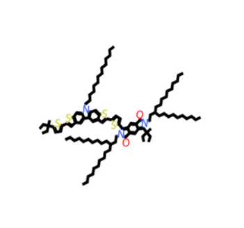 CCCCCCCCCCCCCCn1c2cc3sc(-c4ccc(C5=c6cc7c(cc6C(=O)N5CCC(CCCCCCCCCC)CCCCCCCCCC)=C(C(C)(CC)CC)N(CCC(CCCCCCCCCC)CCCCCCCCCC)C7=O)s4)cc3cc2c2cc3cc(-c4ccc(C(C)(CC)CC)s4)sc3cc21